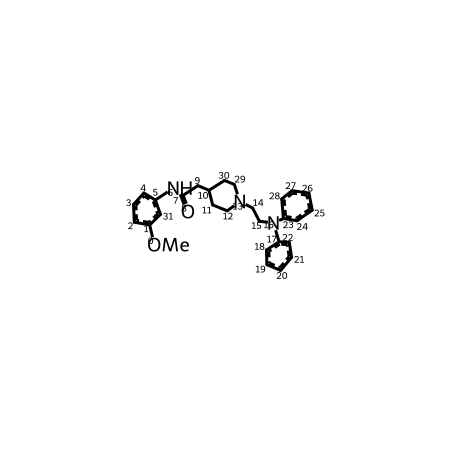 COc1cccc(NC(=O)CC2CCN(CCN(c3ccccc3)c3ccccc3)CC2)c1